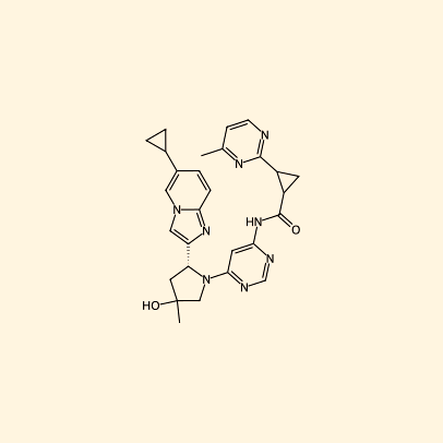 Cc1ccnc(C2CC2C(=O)Nc2cc(N3CC(C)(O)C[C@@H]3c3cn4cc(C5CC5)ccc4n3)ncn2)n1